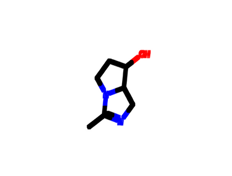 CC1=NCC2C(O)CCN12